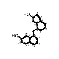 Oc1ccc2cccc(Cc3cccc4ccc(O)cc34)c2c1